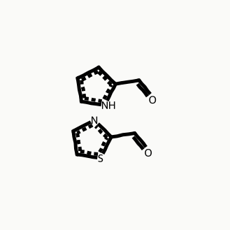 O=Cc1ccc[nH]1.O=Cc1nccs1